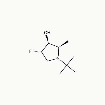 C[C@@H]1[C@H](O)[C@@H](F)CN1C(C)(C)C